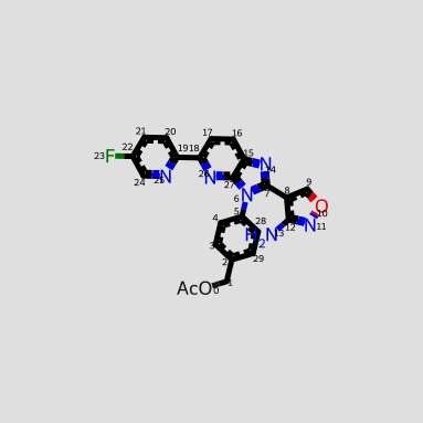 CC(=O)OCc1ccc(-n2c(-c3conc3N)nc3ccc(-c4ccc(F)cn4)nc32)cc1